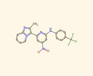 Cc1nc2ccccn2c1-c1cc([N+](=O)[O-])cc(Nc2ccc(C(F)(F)F)cc2)n1